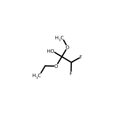 CCOC(O)(OC)[C](F)F